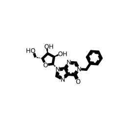 O=c1c2ncn([C@@H]3O[C@H](CO)[C@@H](O)[C@H]3O)c2ncn1Cc1ccccc1